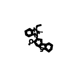 CCN1c2ccccc2N(c2cc3c(cc2OC)sc2ccccc23)[C@H]1C